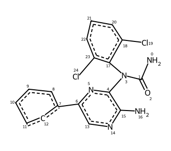 NC(=O)N(c1nc(-c2ccccc2)cnc1N)c1c(Cl)cccc1Cl